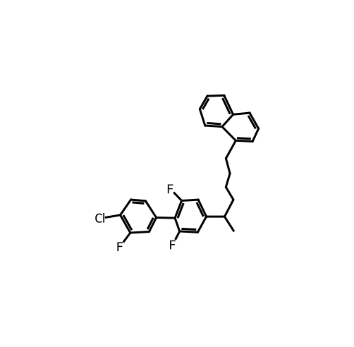 CC(CCCCc1cccc2ccccc12)c1cc(F)c(-c2ccc(Cl)c(F)c2)c(F)c1